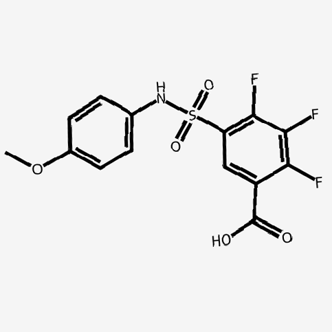 COc1ccc(NS(=O)(=O)c2cc(C(=O)O)c(F)c(F)c2F)cc1